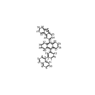 c1cc(-c2cccc3ccccc23)cc(-c2c3ccccc3c(-c3ccc4sc5ccccc5c4c3)c3ccccc23)c1